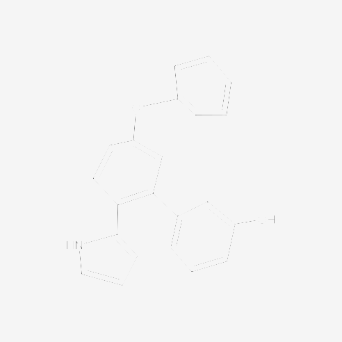 Oc1cccc(-c2cc(Oc3ccccc3)ccc2-c2ccc[nH]2)c1